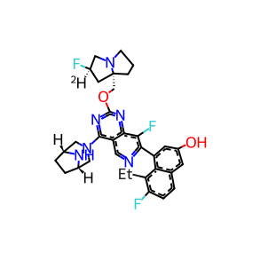 [2H][C@]1(F)CN2CCC[C@@]2(COc2nc(N3C[C@H]4CC[C@@H](C3)N4)c3cnc(-c4cc(O)cc5ccc(F)c(CC)c45)c(F)c3n2)C1